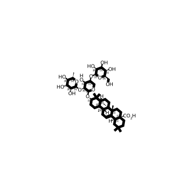 C[C@@H]1O[C@@H](O[C@H]2[C@H](O[C@H]3CC[C@]4(C)[C@H]5CC=C6[C@@H]7CC(C)(C)CC[C@]7(C(=O)O)CC[C@@]6(C)[C@]5(C)CC[C@H]4C3(C)C)OC[C@H](O[C@@H]3O[C@H](CO)[C@@H](O)[C@H](O)[C@H]3O)[C@@H]2O)[C@H](O)[C@H](O)[C@H]1O